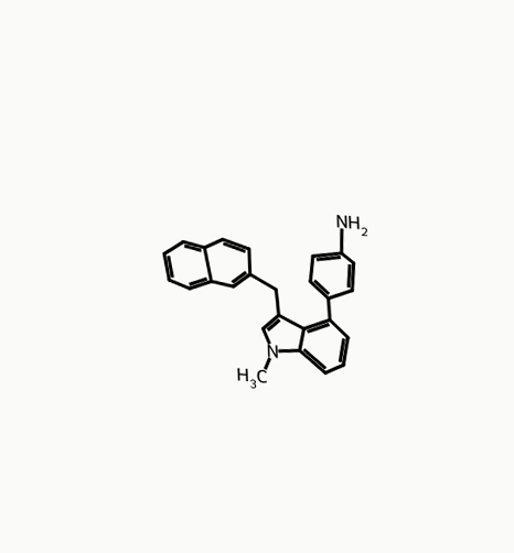 Cn1cc(Cc2ccc3ccccc3c2)c2c(-c3ccc(N)cc3)cccc21